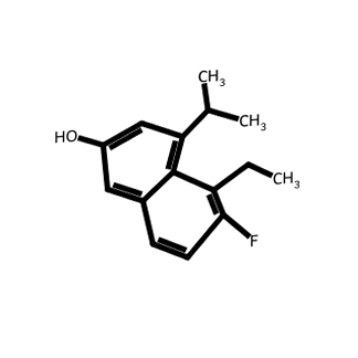 CCc1c(F)ccc2cc(O)cc(C(C)C)c12